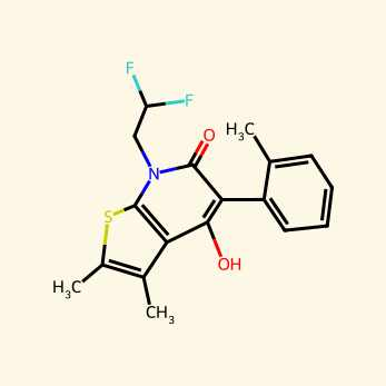 Cc1ccccc1-c1c(O)c2c(C)c(C)sc2n(CC(F)F)c1=O